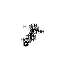 CC1(C)O[C@@H]2[C@H](O1)[C@@H](CO)O[C@H]2c1cnc2c(N(Cc3ccccc3)C(=O)O)ncnn12